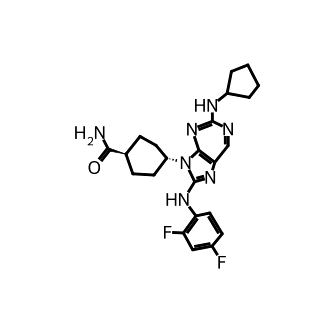 NC(=O)[C@H]1CC[C@H](n2c(Nc3ccc(F)cc3F)nc3cnc(NC4CCCC4)nc32)CC1